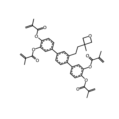 C=C(C)C(=O)Oc1ccc(-c2ccc(-c3ccc(OC(=O)C(=C)C)c(OC(=O)C(=C)C)c3)c(CCC3(C)COC3)c2)cc1OC(=O)C(=C)C